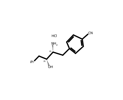 CC(C)C[C@@H](O)[C@H](N)Cc1ccc(C#N)cc1.Cl